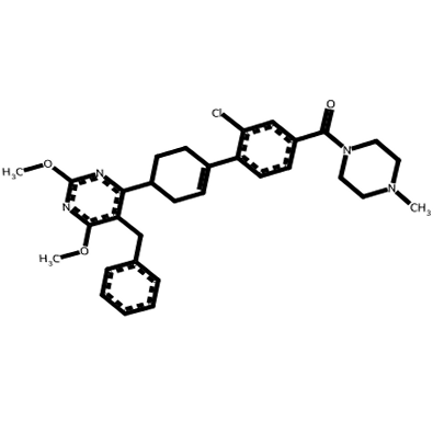 COc1nc(OC)c(Cc2ccccc2)c(C2CC=C(c3ccc(C(=O)N4CCN(C)CC4)cc3Cl)CC2)n1